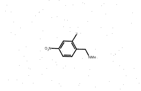 CNCc1ccc([N+](=O)[O-])cc1I